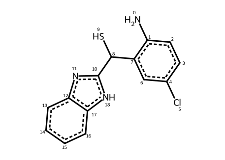 Nc1ccc(Cl)cc1C(S)c1nc2ccccc2[nH]1